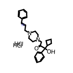 Cl.Cl.O=C(CN1CCN(C/C=C/c2ccccc2)CC1)C(O)(c1ccccc1)C1CCC1